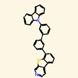 c1cc(-c2cccc(-n3c4ccccc4c4ccccc43)c2)cc(-c2cccc3c2sc2cnccc23)c1